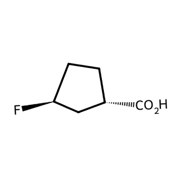 O=C(O)[C@H]1CC[C@H](F)C1